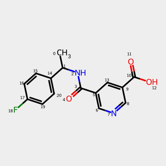 CC(NC(=O)c1cncc(C(=O)O)c1)c1ccc(F)cc1